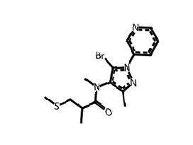 CSCC(C)C(=O)N(C)c1c(C)nn(-c2cccnc2)c1Br